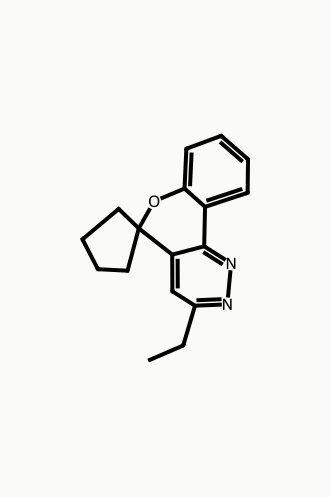 CCc1cc2c(nn1)-c1ccccc1OC21CCCC1